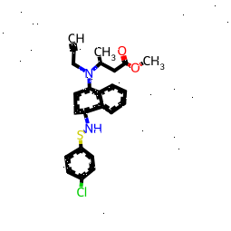 C#CCN(c1ccc(NSc2ccc(Cl)cc2)c2ccccc12)C(C)CC(=O)OC